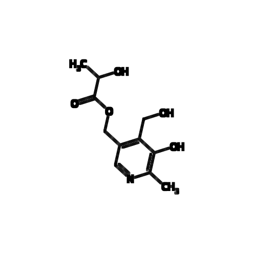 Cc1ncc(COC(=O)C(C)O)c(CO)c1O